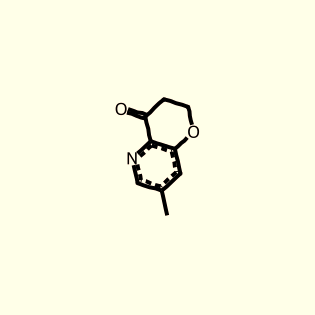 Cc1cnc2c(c1)OCCC2=O